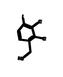 OCc1ccc(I)c(Cl)c1Cl